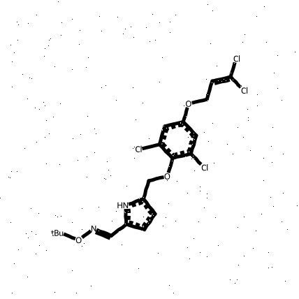 CC(C)(C)ON=Cc1ccc(COc2c(Cl)cc(OCC=C(Cl)Cl)cc2Cl)[nH]1